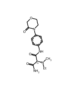 CCN(C)[C@@H](C(N)=O)C(=O)Nc1ccc(N2CCOCC2=O)cc1